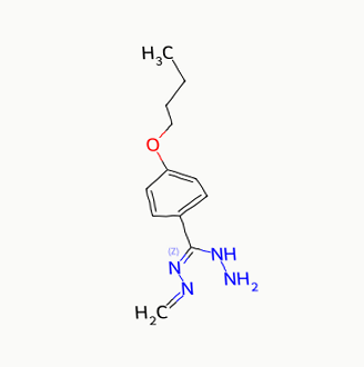 C=N/N=C(\NN)c1ccc(OCCCC)cc1